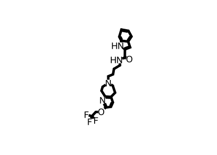 O=C(NCCCCN1CCc2ccc(OCC(F)(F)F)nc2CC1)c1cc2ccccc2[nH]1